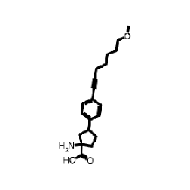 COCCCCCC#Cc1ccc(C2CCC(N)(C(=O)O)C2)cc1